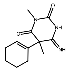 CN1C(=O)NC(=N)C(C)(C2=CCCCC2)C1=O